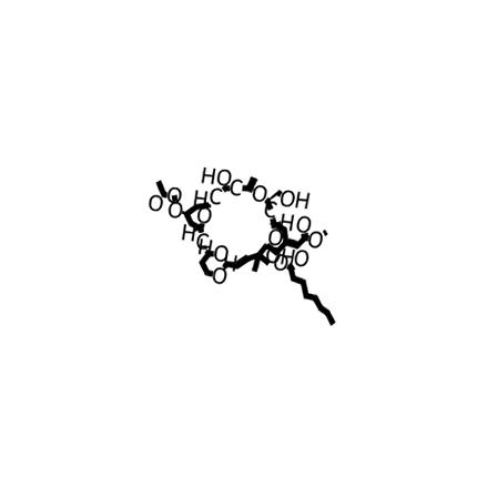 C=C1C[C@H](O)C[C@@H]2C[C@H](OOC(C)=O)C[C@H](C[C@@H]3CCO[C@H](/C=C/C(C)(C)[C@]4(O)O[C@@H](C/C(=C\C(=O)OC)[C@@H]4OC(=O)CCCCCCC)C[C@H](CO)O1)O3)O2